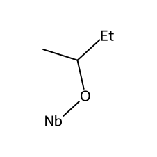 CCC(C)[O][Nb]